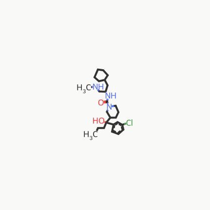 CCCC(O)(c1cccc(Cl)c1)C1CCCN(C(=O)NC(CNC)CC2CCCCC2)C1